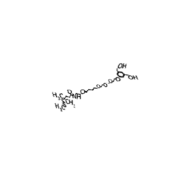 CSSC(C)(C)CCC(=O)NCCOCCCCCOCCOCCOCCOc1cc(CO)cc(CO)c1